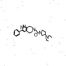 CCN(CC)C1CCN(C(=O)CN2CCc3cc(-c4ccccc4)nnc3CC2)C1